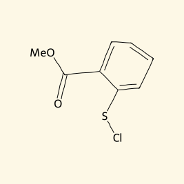 COC(=O)c1ccccc1SCl